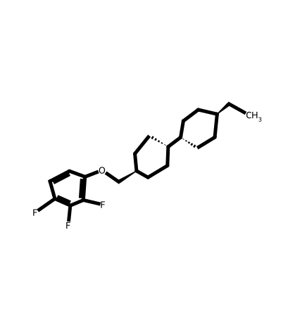 CC[C@H]1CC[C@H]([C@H]2CC[C@H](COc3ccc(F)c(F)c3F)CC2)CC1